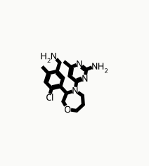 Cc1cc(N2CCCOCC2c2cc(CN)c(C)cc2Cl)nc(N)n1